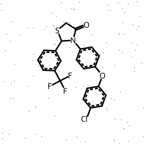 O=C1CSC(c2cccc(C(F)(F)F)c2)N1c1ccc(Oc2ccc(Cl)cc2)cc1